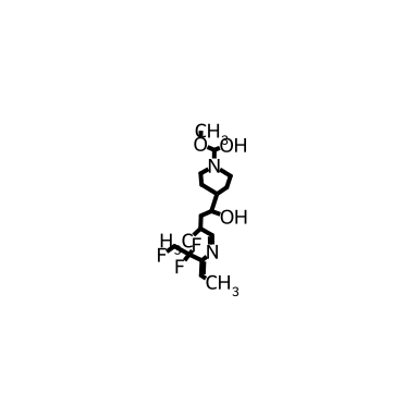 C/C=C(\N=C/C(C)CC(O)C1CCN(C(O)OC)CC1)C(F)(F)CF